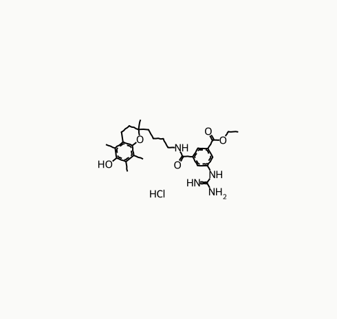 CCOC(=O)c1cc(NC(=N)N)cc(C(=O)NCCCCC2(C)CCc3c(C)c(O)c(C)c(C)c3O2)c1.Cl